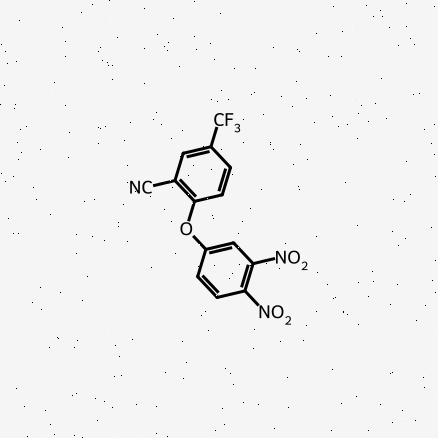 N#Cc1cc(C(F)(F)F)ccc1Oc1ccc([N+](=O)[O-])c([N+](=O)[O-])c1